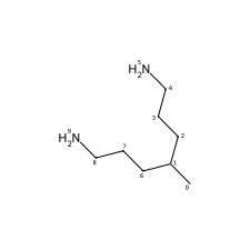 CC(CCCN)CCCN